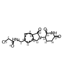 O=C(CCl)NCc1ccc2c(c1)CN(C1CCC(=O)NC1=O)C2=O